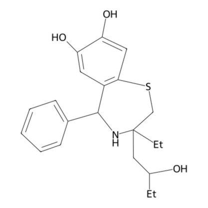 CCC(O)CC1(CC)CSc2cc(O)c(O)cc2C(c2ccccc2)N1